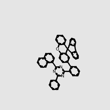 c1ccc(-c2nc(-c3ccccc3-c3ccc4c(c3)C3(c5ccccc5O4)c4ccccc4-c4ccccc43)nc(-c3cccc4ccccc34)n2)cc1